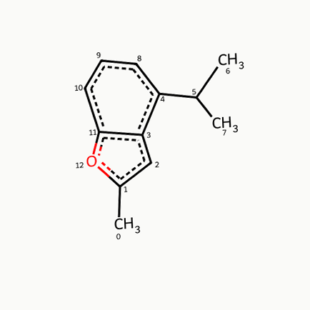 Cc1cc2c(C(C)C)cccc2o1